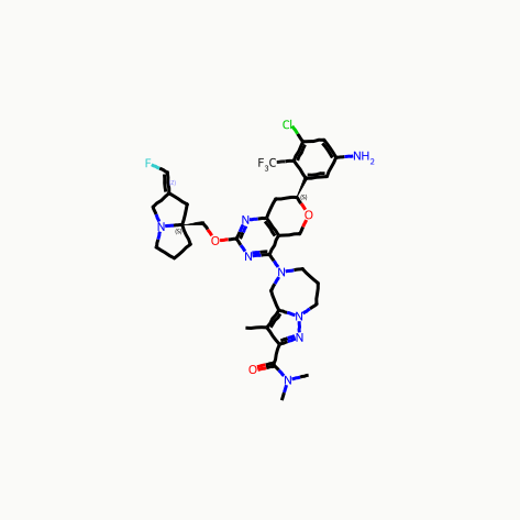 Cc1c(C(=O)N(C)C)nn2c1CN(c1nc(OC[C@@]34CCCN3C/C(=C\F)C4)nc3c1CO[C@H](c1cc(N)cc(Cl)c1C(F)(F)F)C3)CCC2